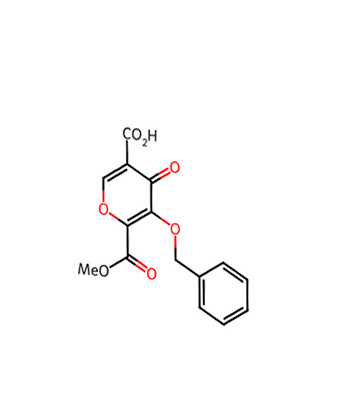 COC(=O)c1occ(C(=O)O)c(=O)c1OCc1ccccc1